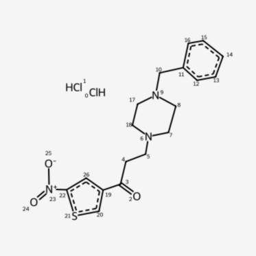 Cl.Cl.O=C(CCN1CCN(Cc2ccccc2)CC1)c1csc([N+](=O)[O-])c1